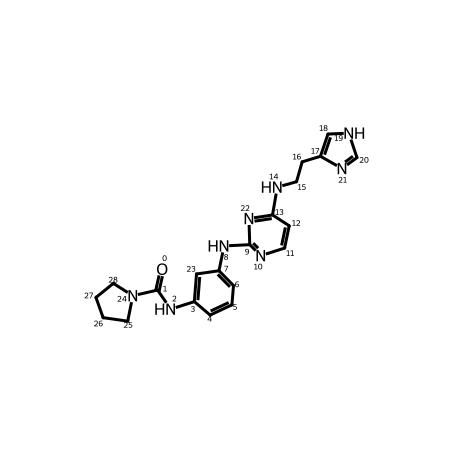 O=C(Nc1cccc(Nc2nccc(NCCc3c[nH]cn3)n2)c1)N1CCCC1